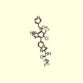 CN(Cc1ccncc1)c1c(F)c(Cl)c(-c2ccc3nc(NC(=O)[C@@H]4C[C@@H]4F)cn3c2)c2cn[nH]c12